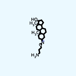 C[C@]12CC/C(=N\OCCCN)CC1CCC1C2CC[C@@]2(C)C1CC[C@@H]2O